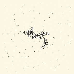 Cc1cn2nc([C@@H]3CCCCCC3C(=O)c3ccc(Cl)cc3NS(C)(=O)=O)cc2nc1N1CC[C@H](N(CCCCN2CCN(C(=O)OCc3ccccc3)CC2)C(=O)OC(C)(C)C)C1